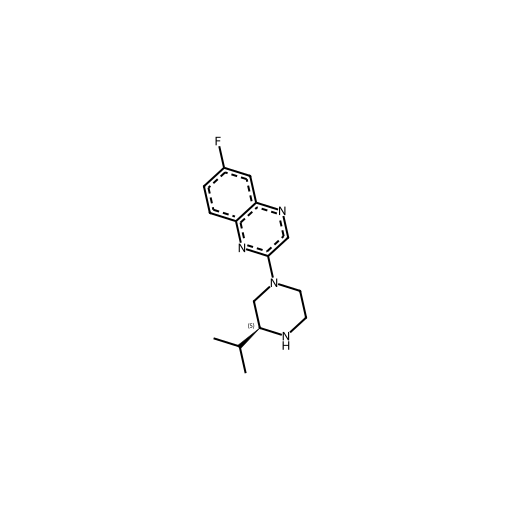 CC(C)[C@H]1CN(c2cnc3cc(F)ccc3n2)CCN1